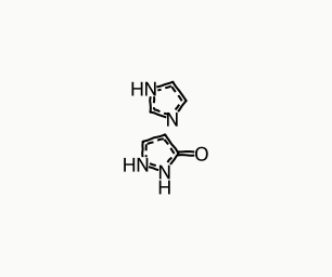 O=c1cc[nH][nH]1.c1c[nH]cn1